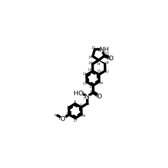 COc1ccc(CN(O)C(=O)c2ccc3c(c2)CC[C@]2(CCNC2=O)C3)cc1